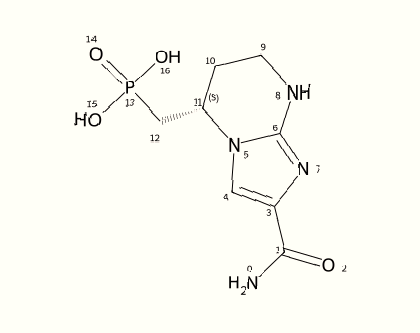 NC(=O)c1cn2c(n1)NCC[C@H]2CP(=O)(O)O